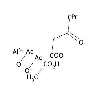 CC(=O)O.CC(=O)[O-].CC(=O)[O-].CCCC(=O)CC(=O)[O-].[Al+3]